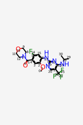 COc1cc(C(=O)N2CCOCC2)c(F)cc1Nc1ncc(C(F)(F)F)c(NC(C)C)n1